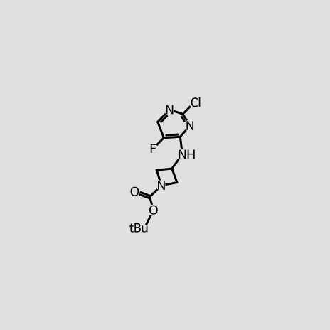 CC(C)(C)OC(=O)N1CC(Nc2nc(Cl)ncc2F)C1